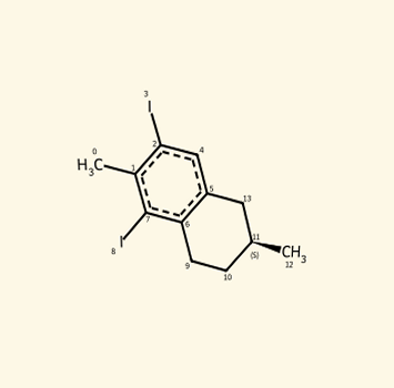 Cc1c(I)cc2c(c1I)CC[C@H](C)C2